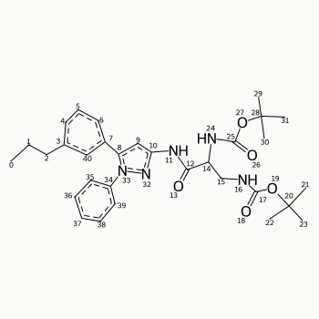 CCCc1cccc(-c2cc(NC(=O)C(CNC(=O)OC(C)(C)C)NC(=O)OC(C)(C)C)nn2-c2ccccc2)c1